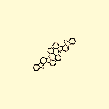 C1=C=C(c2ccccc2-n2c3c(c4ccccc42)-c2sc4ccccc4c2CC3)C(n2c3ccccc3c3c4oc5ccccc5c4ccc32)=CC=1